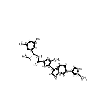 Cc1sc(C(=O)N[C@H](CO)c2cc(F)cc(Cl)c2)nc1-c1cnn2cc(-c3cnn(C)c3)ccc12